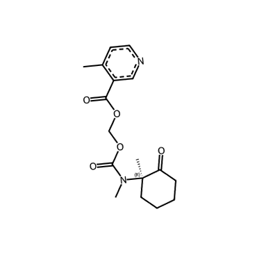 Cc1ccncc1C(=O)OCOC(=O)N(C)[C@]1(C)CCCCC1=O